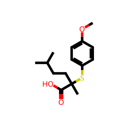 COc1ccc(SC(C)(CCC(C)C)C(=O)O)cc1